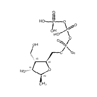 C[C@@H]1O[C@H](COP(=O)(O)OP(=O)(O)OP(=O)(O)O)[C@@H](CO)[C@H]1O